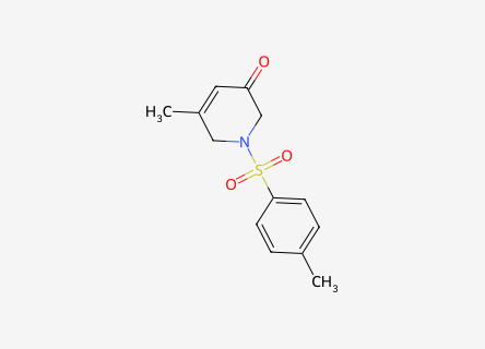 CC1=CC(=O)CN(S(=O)(=O)c2ccc(C)cc2)C1